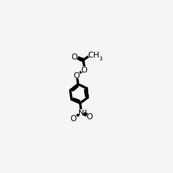 CC(=O)OOc1ccc([N+](=O)[O-])cc1